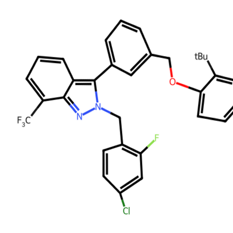 CC(C)(C)c1ccccc1OCc1cccc(-c2c3cccc(C(F)(F)F)c3nn2Cc2ccc(Cl)cc2F)c1